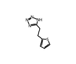 c1csc(CCc2nnn[nH]2)c1